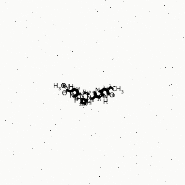 CCc1cc2ncc(CN3CCN(c4ccc(C(=O)NC)nc4F)[C@H]4CC[C@H]43)cc2[nH]c1=O